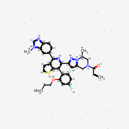 C=CC(=O)N1Cc2cc(-c3nc(-c4ccc5ncn(C)c5c4)c4ccsc4c3-c3c(F)cc(F)cc3OCCOC)nn2[C@@H](C)C1